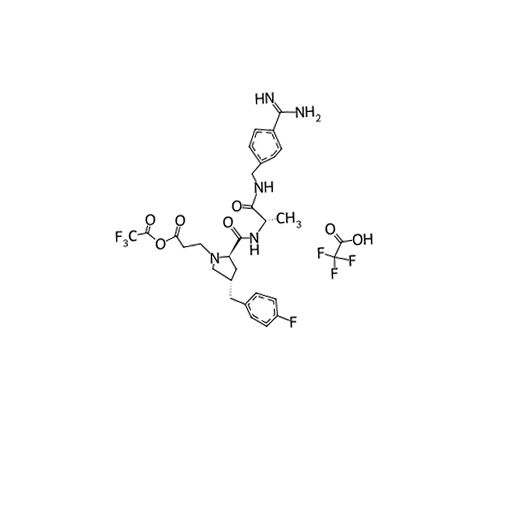 C[C@H](NC(=O)[C@H]1C[C@H](Cc2ccc(F)cc2)CN1CCC(=O)OC(=O)C(F)(F)F)C(=O)NCc1ccc(C(=N)N)cc1.O=C(O)C(F)(F)F